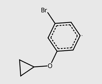 Brc1c[c]cc(OC2CC2)c1